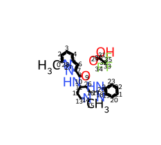 Cc1cccc2cc(C(=O)N[C@@H]3CCN(C)[C@@H](c4nc5ccccc5[nH]4)C3)nn12.O=C(O)C(F)(F)F